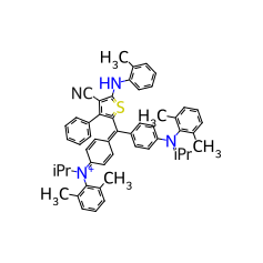 Cc1ccccc1Nc1sc(C(=C2C=CC(=[N+](c3c(C)cccc3C)C(C)C)C=C2)c2ccc(N(c3c(C)cccc3C)C(C)C)cc2)c(-c2ccccc2)c1C#N